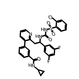 O=C(NC(Cc1ncccc1-c1cccc(C(=O)NC2CC2)c1)c1cc(F)cc(F)c1)NS(=O)(=O)c1ccccc1Cl